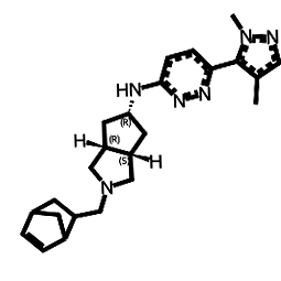 Cc1cnn(C)c1-c1ccc(N[C@@H]2C[C@@H]3CN(CC4CC5C=CC4C5)C[C@@H]3C2)nn1